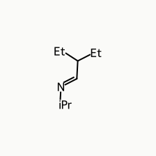 CCC(C=NC(C)C)CC